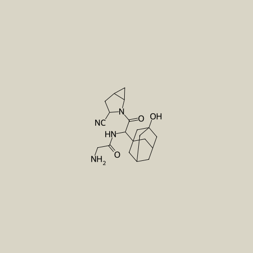 N#CC1CC2CC2N1C(=O)C(NC(=O)CN)C12CC3CC(CC(O)(C3)C1)C2